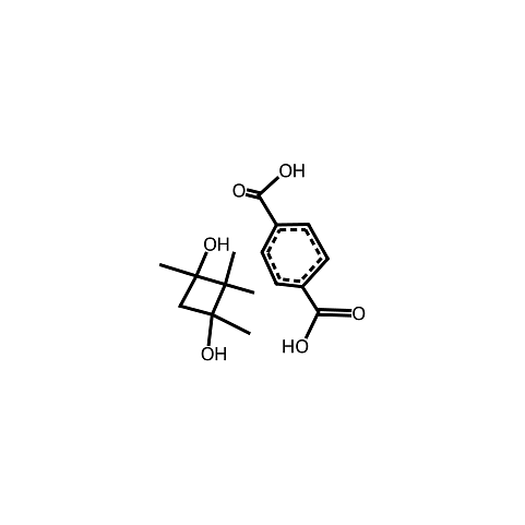 CC1(O)CC(C)(O)C1(C)C.O=C(O)c1ccc(C(=O)O)cc1